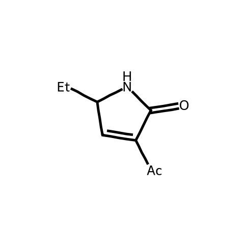 CCC1C=C(C(C)=O)C(=O)N1